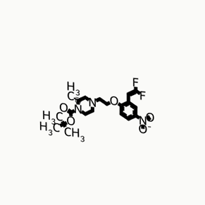 C[C@@H]1CN(CCOc2ccc([N+](=O)[O-])cc2C=C(F)F)CCN1C(=O)OC(C)(C)C